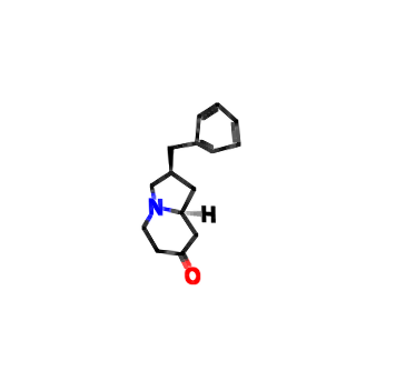 O=C1CCN2C[C@@H](Cc3ccccc3)C[C@H]2C1